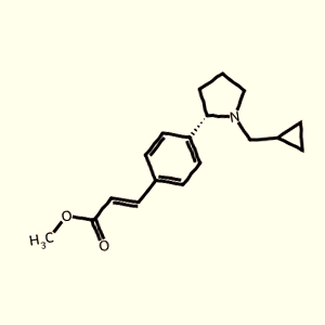 COC(=O)C=Cc1ccc([C@@H]2CCCN2CC2CC2)cc1